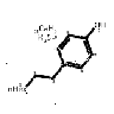 CCCCCCCCc1ccc(O)cc1.S.[CaH2]